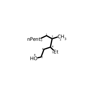 CCCCCCC(C)C(CC)CCO